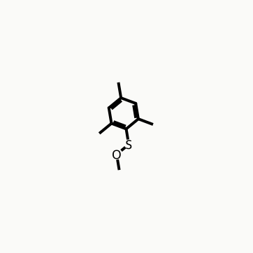 COSc1c(C)cc(C)cc1C